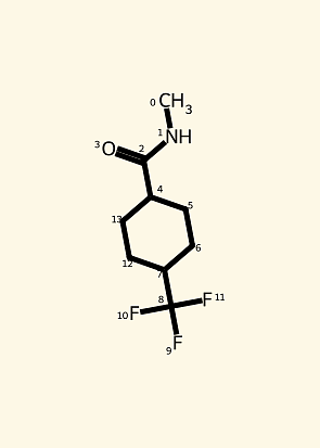 CNC(=O)C1CCC(C(F)(F)F)CC1